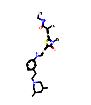 CCn1c(=C=C(C#N)C(=O)NCC#N)sc(=C=CNc2cccc(CCN3CC(C)CC(C)C3)c2)c1=O